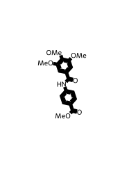 COC(=O)c1ccc(NC(=O)c2cc(OC)c(OC)c(OC)c2)cc1